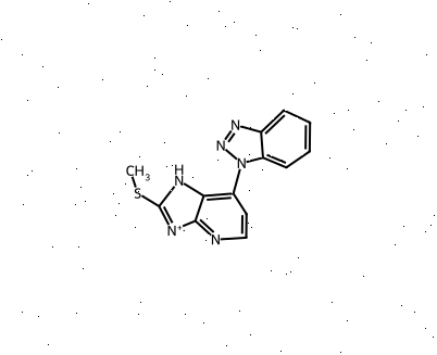 CSC1=[N+]c2nccc(-n3nnc4ccccc43)c2N1